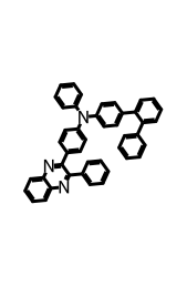 c1ccc(-c2ccccc2-c2ccc(N(c3ccccc3)c3ccc(-c4nc5ccccc5nc4-c4ccccc4)cc3)cc2)cc1